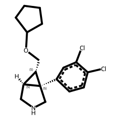 Clc1ccc([C@]23CNC[C@H]2[C@@H]3COC2CCCC2)cc1Cl